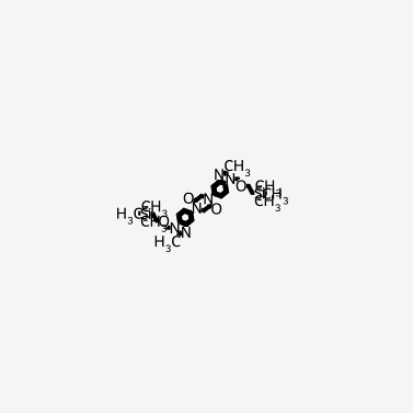 Cc1nc2cc(N3CC(=O)N(c4ccc5c(c4)nc(C)n5COCC[Si](C)(C)C)CC3=O)ccc2n1COCC[Si](C)(C)C